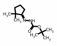 CC(C)(C)OC(=O)NN=C1CCCC1(C)C